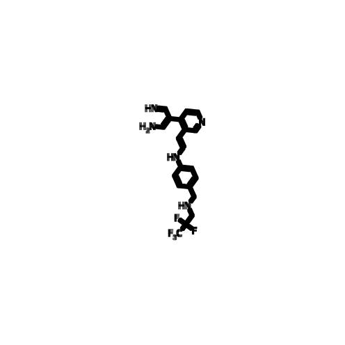 N=C/C(=C\N)c1ccncc1/C=C/Nc1ccc(CNCC(F)(F)C(F)(F)F)cc1